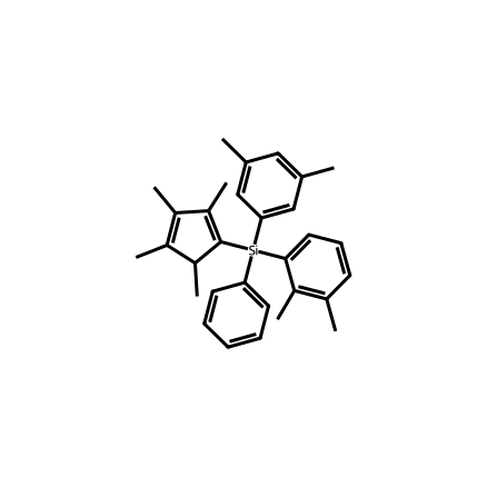 CC1=C(C)C(C)C([Si](c2ccccc2)(c2cc(C)cc(C)c2)c2cccc(C)c2C)=C1C